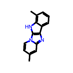 Cc1ccn2c(c1)nc1c3cccc(C)c3[nH]c12